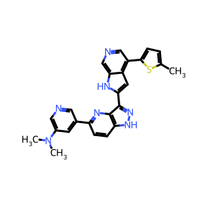 Cc1ccc(-c2cncc3[nH]c(-c4n[nH]c5ccc(-c6cncc(N(C)C)c6)nc45)cc23)s1